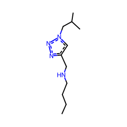 CCCCNCc1cn(CC(C)C)nn1